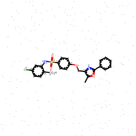 Cc1oc(-c2ccccc2)nc1COc1ccc(S(=O)(=O)Nc2cc(Cl)ccc2C(=O)O)cc1